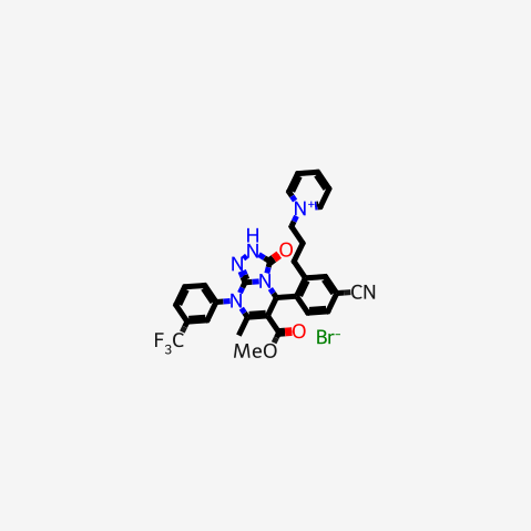 COC(=O)C1=C(C)N(c2cccc(C(F)(F)F)c2)c2n[nH]c(=O)n2C1c1ccc(C#N)cc1CCC[n+]1ccccc1.[Br-]